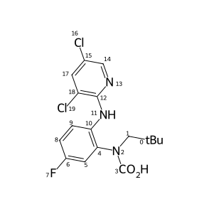 CC(C)(C)CN(C(=O)O)c1cc(F)ccc1Nc1ncc(Cl)cc1Cl